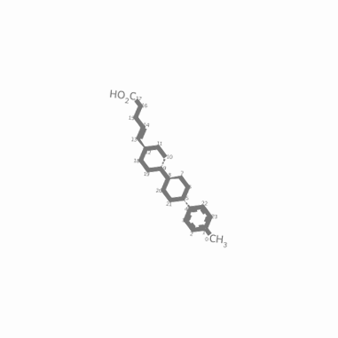 Cc1ccc([C@H]2CC[C@H]([C@H]3CC[C@H](C=CCCC(=O)O)CC3)CC2)cc1